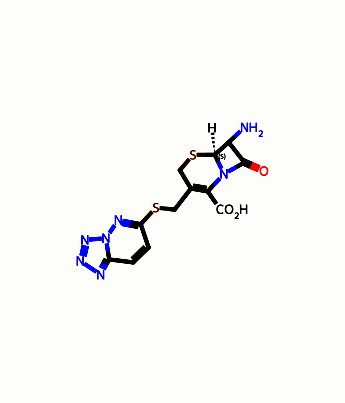 NC1C(=O)N2C(C(=O)O)=C(CSc3ccc4nnnn4n3)CS[C@@H]12